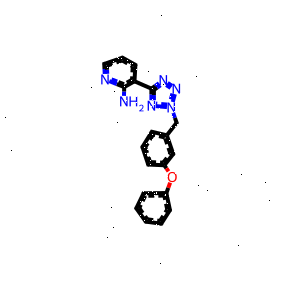 Nc1ncccc1-c1nnn(Cc2cccc(Oc3ccccc3)c2)n1